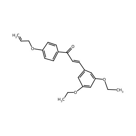 C=CCOc1ccc(C(=O)C=Cc2cc(OCC)cc(OCC)c2)cc1